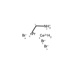 CCCC[NH3+].[Br-].[Br-].[Br-].[GeH2+2]